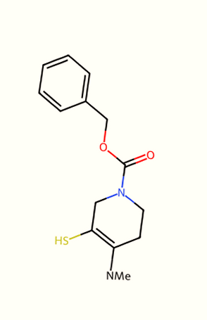 CNC1=C(S)CN(C(=O)OCc2ccccc2)CC1